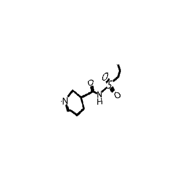 CCS(=O)(=O)NC(=O)C1CCC[N]C1